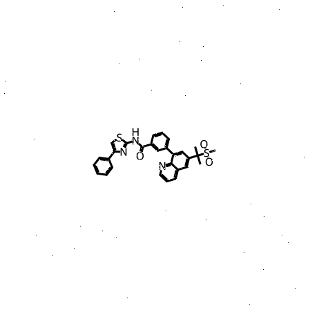 CC(C)(c1cc(-c2cccc(C(=O)Nc3nc(-c4ccccc4)cs3)c2)c2ncccc2c1)S(C)(=O)=O